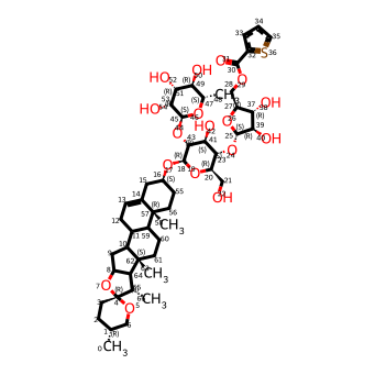 C[C@@H]1CC[C@@]2(OC1)OC1CC3C4CC=C5C[C@@H](O[C@@H]6O[C@H](CO)[C@@H](O[C@@H]7O[C@@H](COC(=O)c8cccs8)[C@H](O)[C@H]7O)[C@H](O)[C@H]6O[C@@H]6O[C@@H](C)[C@H](O)[C@@H](O)[C@H]6O)CC[C@]5(C)C4CC[C@]3(C)C1[C@@H]2C